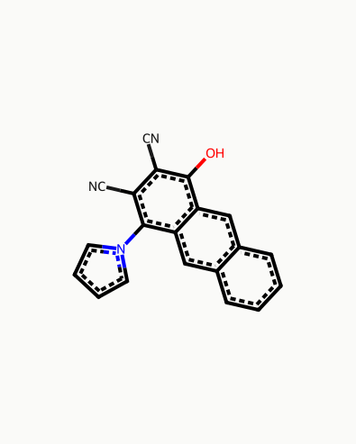 N#Cc1c(C#N)c(-n2cccc2)c2cc3ccccc3cc2c1O